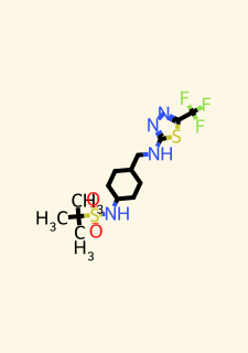 CC(C)(C)S(=O)(=O)NC1CCC(CNc2nnc(C(F)(F)F)s2)CC1